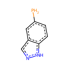 Pc1ccc2[nH]ncc2c1